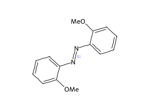 COc1ccccc1/N=N/c1ccccc1OC